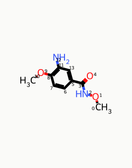 CONC(=O)c1ccc(OC)c(N)c1